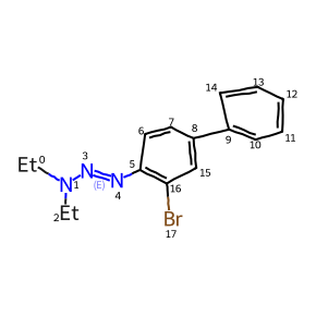 CCN(CC)/N=N/c1ccc(-c2ccccc2)cc1Br